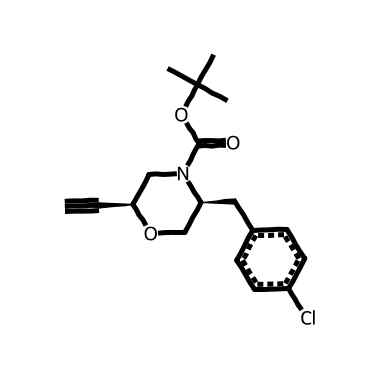 C#C[C@H]1CN(C(=O)OC(C)(C)C)[C@@H](Cc2ccc(Cl)cc2)CO1